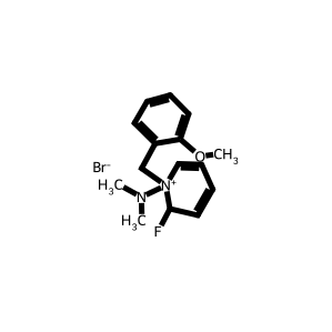 COc1ccccc1C[N+]1(N(C)C)C=CC=CC1F.[Br-]